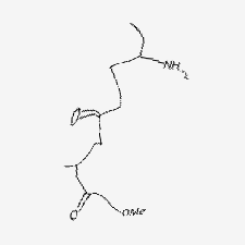 COC(=O)C(C)CC(=O)CCC(C)N